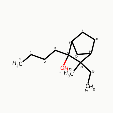 CCCCC1(O)C2CCC(C2)C1(C)CC